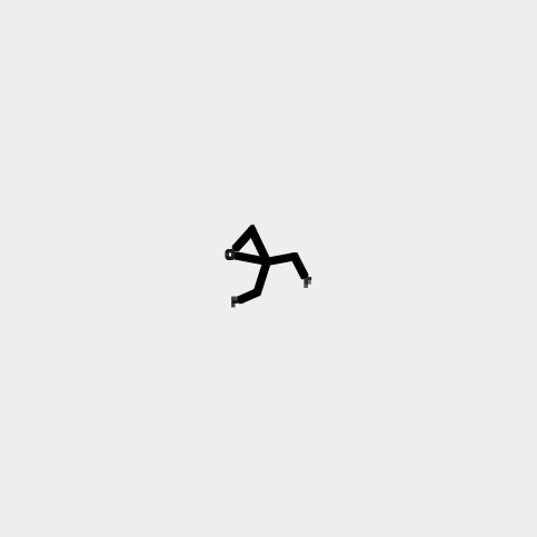 FCC1(CF)CO1